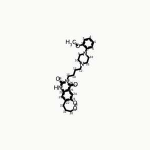 COc1ccccc1N1CCN(CCCCn2c(=O)[nH]c3cc4c(cc3c2=O)OOCCC4)CC1